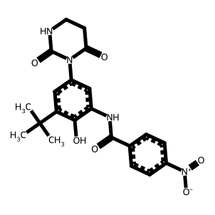 CC(C)(C)c1cc(N2C(=O)CCNC2=O)cc(NC(=O)c2ccc([N+](=O)[O-])cc2)c1O